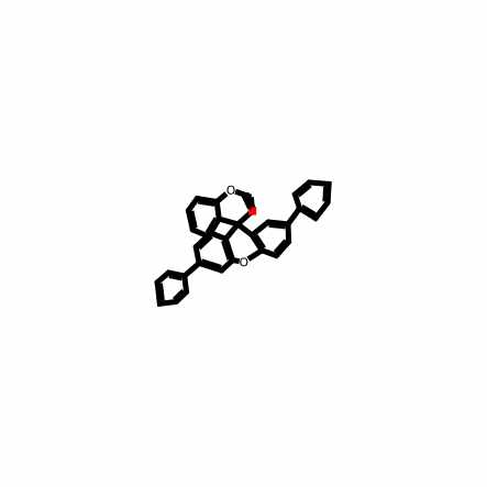 c1ccc(-c2ccc3c(c2)Oc2ccc(-c4ccccc4)cc2C32c3ccccc3Oc3ccccc32)cc1